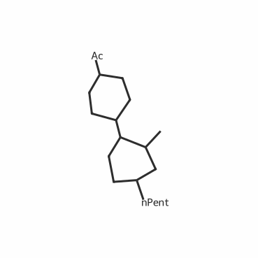 CCCCCC1CCC(C2CCC(C(C)=O)CC2)C(C)C1